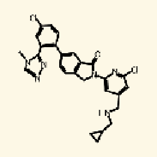 Cn1cnnc1-c1cc(Cl)ccc1-c1ccc2c(c1)C(=O)N(c1cc(CNCC3CC3)cc(Cl)n1)C2